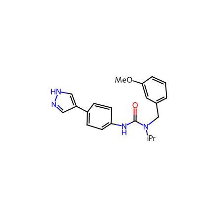 COc1cccc(CN(C(=O)Nc2ccc(-c3cn[nH]c3)cc2)C(C)C)c1